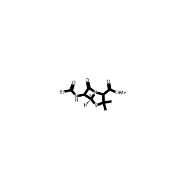 CCC(=O)NC1C(=O)N2C(C(=O)OC)C(C)(C)S[C@@H]12